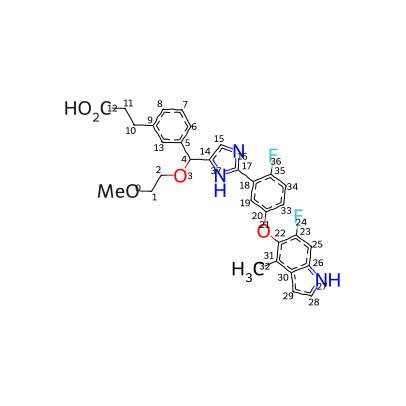 COCCOC(c1cccc(CCC(=O)O)c1)c1cnc(-c2cc(Oc3c(F)cc4[nH]ccc4c3C)ccc2F)[nH]1